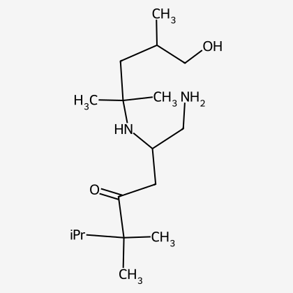 CC(CO)CC(C)(C)NC(CN)CC(=O)C(C)(C)C(C)C